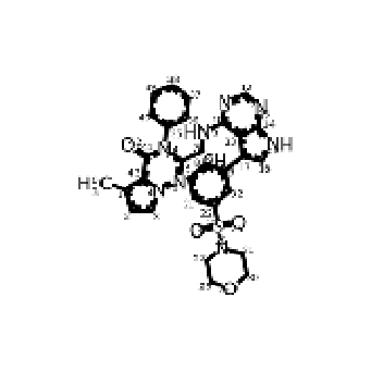 Cc1ccn2nc([C@H](C)Nc3ncnc4[nH]cc(-c5cccc(S(=O)(=O)N6CCOCC6)c5)c34)n(-c3ccccc3)c(=O)c12